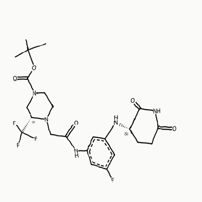 CC(C)(C)OC(=O)N1CCN(CC(=O)Nc2cc(F)cc(N[C@H]3CCC(=O)NC3=O)c2)[C@H](C(F)(F)F)C1